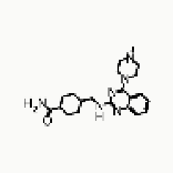 CN1CCN(c2nc(NCC3CCC(C(N)=O)CC3)nc3ccccc23)CC1